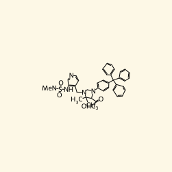 CNS(=O)(=O)Nc1cnccc1CN1CN(c2ccc(C(c3ccccc3)(c3ccccc3)c3ccccc3)cc2)C(C(=O)C=O)C1(C)C